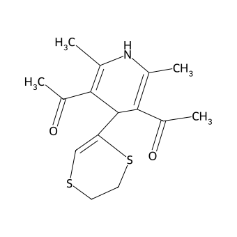 CC(=O)C1=C(C)NC(C)=C(C(C)=O)C1C1=CSCCS1